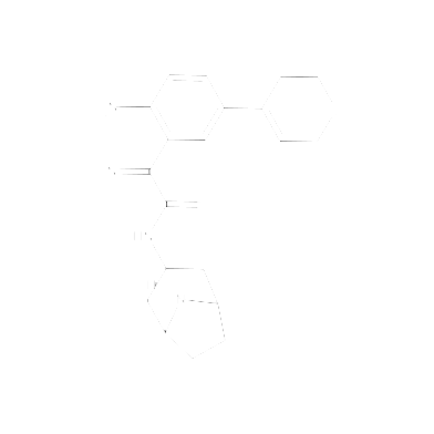 CN1C2CCC1CC(NC(=O)C(=N)c1cc(C3=CCOCC3)ccc1N)C2